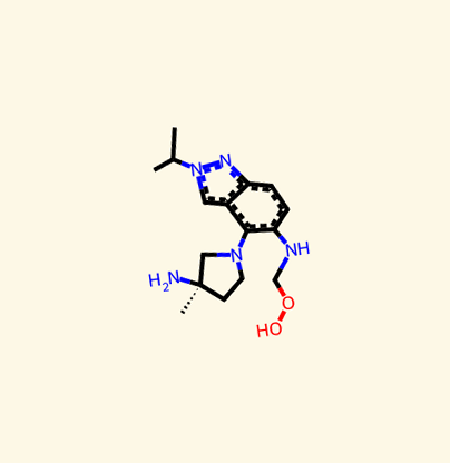 CC(C)n1cc2c(N3CC[C@@](C)(N)C3)c(NCOO)ccc2n1